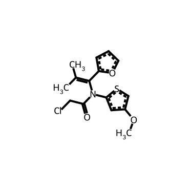 COc1csc(N(C(=O)CCl)C(=C(C)C)c2ccco2)c1